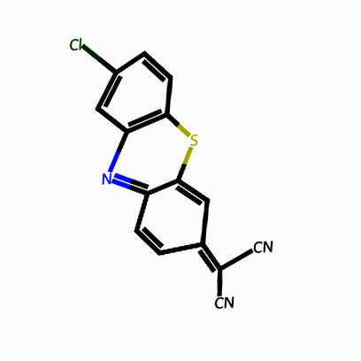 N#CC(C#N)=c1ccc2c(c1)Sc1ccc(Cl)cc1N=2